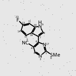 CSc1ncc(C#N)c(-c2c[nH]c3cc(F)ccc23)n1